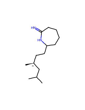 CC(C)C[C@@H](C)CCC1CCCCC(=N)N1